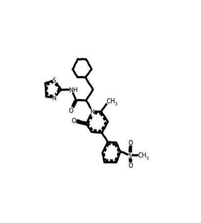 Cc1cc(-c2cccc(S(C)(=O)=O)c2)cc(=O)n1C(CC1CCCCC1)C(=O)Nc1nccs1